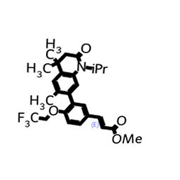 COC(=O)/C=C/c1ccc(OCC(F)(F)F)c(-c2cc3c(cc2C)C(C)(C)CC(=O)N3C(C)C)c1